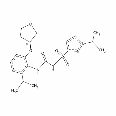 CC(C)c1cccc(O[C@H]2CCOC2)c1NC(=O)NS(=O)(=O)c1ccn(C(C)C)n1